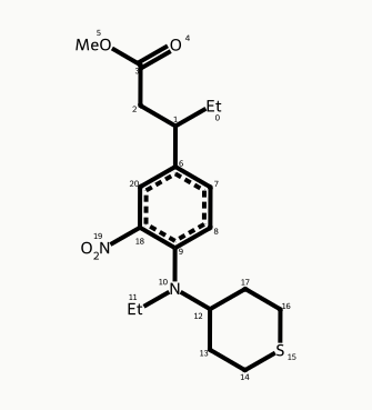 CCC(CC(=O)OC)c1ccc(N(CC)C2CCSCC2)c([N+](=O)[O-])c1